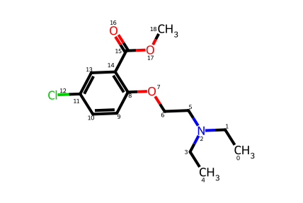 CCN(CC)CCOc1ccc(Cl)cc1C(=O)OC